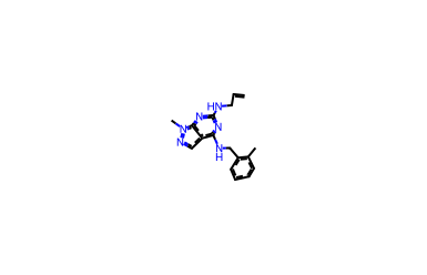 C=CCNc1nc(NCc2ccccc2C)c2cnn(C)c2n1